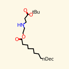 CCCCCCCCCCCCCCCCCC(=O)OCCNCCC(=O)OC(C)(C)C